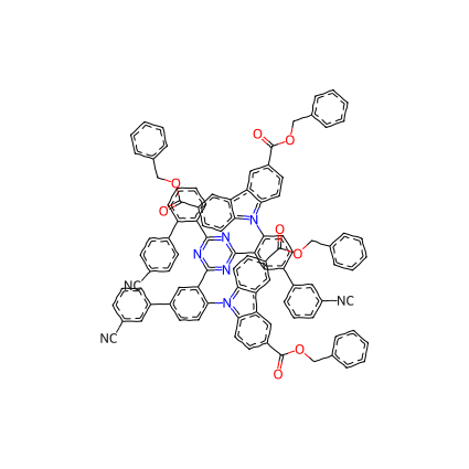 [C-]#[N+]c1cccc(-c2ccc(-n3c4ccc(C(=O)OCc5ccccc5)cc4c4cc(C(=O)OCc5ccccc5)ccc43)c(-c3nc(-c4ccccc4-c4ccc(C#N)cc4)nc(-c4cc(-c5cccc(C#N)c5)ccc4-n4c5ccc(C(=O)OCc6ccccc6)cc5c5cc(C(=O)OCc6ccccc6)ccc54)n3)c2)c1